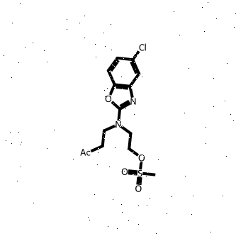 CC(=O)CCN(CCOS(C)(=O)=O)c1nc2cc(Cl)ccc2o1